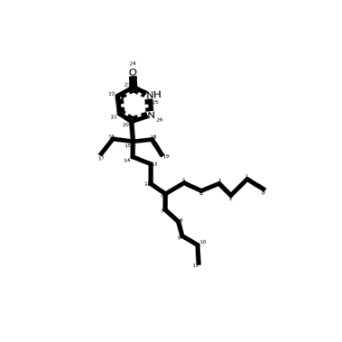 CCCCCCC(CCCCC)CCCC(CC)(CC)c1ccc(=O)[nH]n1